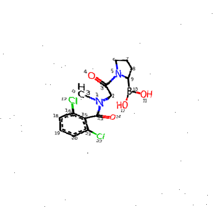 CN(CC(=O)N1CCCC1B(O)O)C(=O)c1c(Cl)cccc1Cl